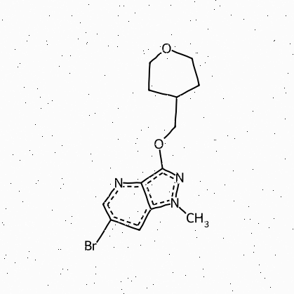 Cn1nc(OCC2CCOCC2)c2ncc(Br)cc21